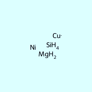 [Cu].[MgH2].[Ni].[SiH4]